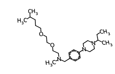 CCC(C)N1CCN(c2ccc(CN(C)CCOCCOCCCC(C)C)cc2)CC1